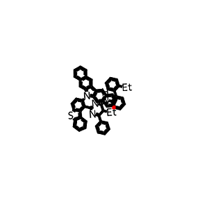 CCc1ccccc1-c1ccccc1NC1N=C(c2c(-n3c4cc5ccccc5cc4c4cc5ccccc5cc43)ccc3sc4ccccc4c23)N=C(c2ccccc2)C1CC